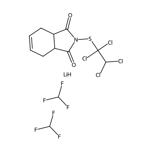 FC(F)F.FC(F)F.O=C1C2CC=CCC2C(=O)N1SC(Cl)(Cl)C(Cl)Cl.[LiH]